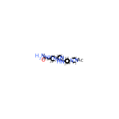 CC(=O)N1CCN(c2ccc(Nc3nccc(N4CCC(CNC(N)=O)CC4)n3)cc2)CC1